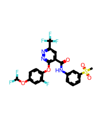 CS(=O)(=O)c1cccc(NC(=O)c2cc(C(F)(F)F)nnc2Oc2ccc(OC(F)F)cc2F)c1